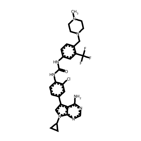 CN1CCN(Cc2ccc(NC(=O)Nc3ccc(-c4cn(C5CC5)c5ncnc(N)c45)cc3Cl)cc2C(F)(F)F)CC1